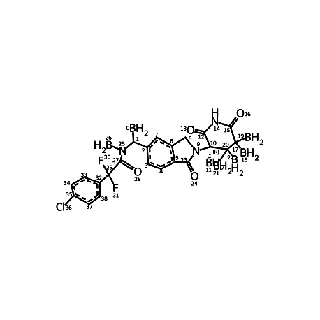 BC(c1ccc2c(c1)CN([C@@]1(B)C(=O)NC(=O)C(B)(B)C1(B)B)C2=O)N(B)C(=O)C(F)(F)c1ccc(Cl)cc1